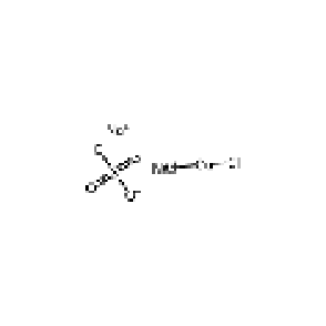 O=S([O-])([O-])=S.[Cl][Cu][Cl].[Na+].[Na+]